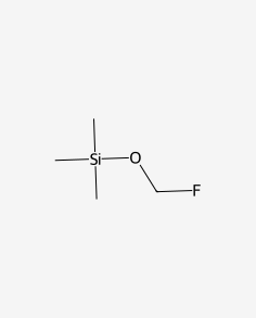 C[Si](C)(C)OCF